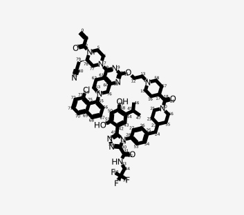 C=CC(=O)N1CCN(c2nc(OCCN3CCC(C(=O)N4CCC(Cc5ccc(-n6c(C(=O)NCC(F)(F)F)nnc6-c6cc(C(C)C)c(O)cc6O)cc5)CC4)CC3)nc3c2CCN(c2cccc4cccc(Cl)c24)C3)C[C@@H]1CC#N